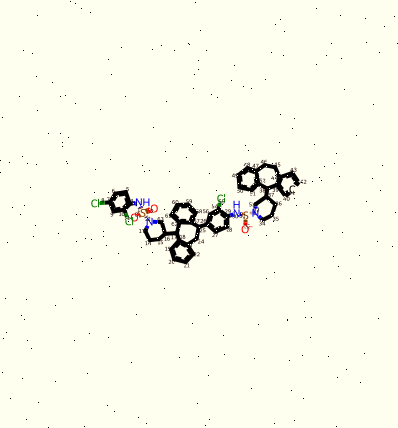 O=S(=O)(Nc1ccc(Cl)cc1Cl)N1CCCC(C2c3ccccc3CC(c3ccc(N[S+]([O-])N4CCCC(C5c6ccccc6CCc6ccccc65)C4)c(Cl)c3)c3ccccc32)C1